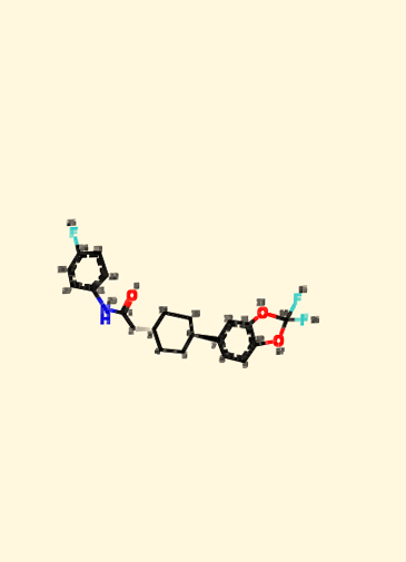 O=C(C[C@H]1CC[C@H](c2ccc3c(c2)OC(F)(F)O3)CC1)Nc1ccc(F)cc1